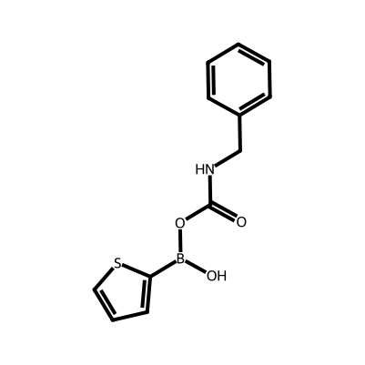 O=C(NCc1ccccc1)OB(O)c1cccs1